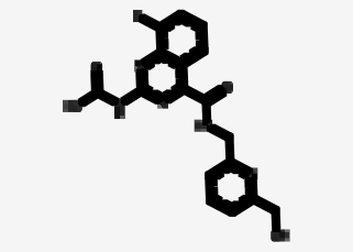 O=C(O)Nc1nc(C(=O)NCc2cccc(CO)n2)c2cccc(F)c2n1